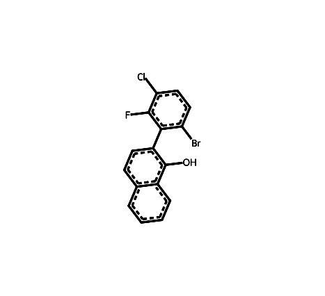 Oc1c(-c2c(Br)ccc(Cl)c2F)ccc2ccccc12